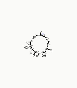 C/C1=C/CCOC(=O)C[C@H](O)[C@@H](C)C(=O)[C@H](C)[C@@H](O)[C@@H](C)CCC1